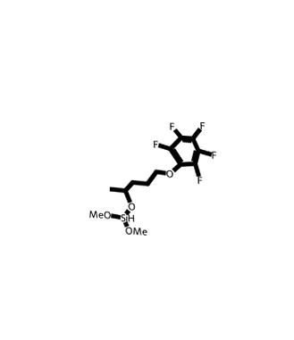 CO[SiH](OC)OC(C)CCCOc1c(F)c(F)c(F)c(F)c1F